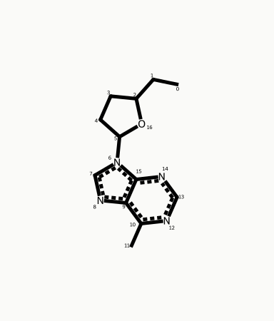 CCC1CCC(n2cnc3c(C)ncnc32)O1